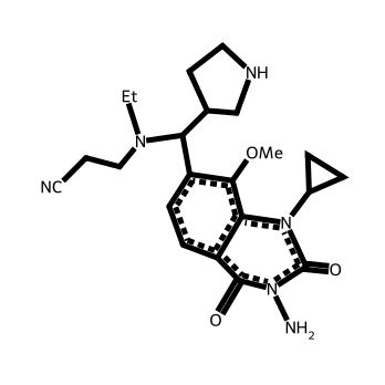 CCN(CCC#N)C(c1ccc2c(=O)n(N)c(=O)n(C3CC3)c2c1OC)C1CCNC1